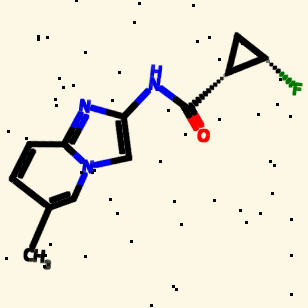 Cc1ccc2nc(NC(=O)[C@@H]3C[C@@H]3F)cn2c1